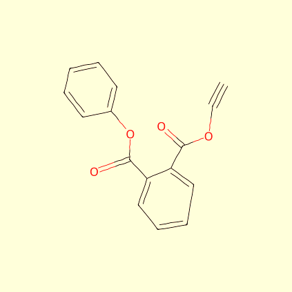 C#COC(=O)c1ccccc1C(=O)Oc1ccccc1